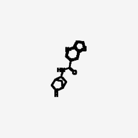 O=C(NC1CC2CC1CN2)c1cnc2ccsc2c1